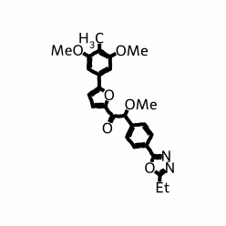 CCc1nnc(-c2ccc(C(OC)C(=O)c3ccc(-c4cc(OC)c(C)c(OC)c4)o3)cc2)o1